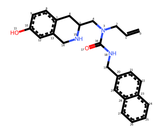 C=CCN(CC1Cc2ccc(O)cc2CN1)C(=O)NCc1ccc2ccccc2c1